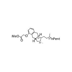 CCCCC[C@H](C)CCC1[C@H](C)C[C@@H]2Cc3c(cccc3OCC(=O)OC)C[C@H]12